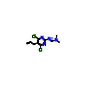 C=CCc1c(Cl)nc(/N=C/N(C)C)nc1Cl